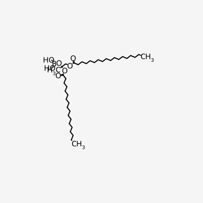 CCCCCCCCCCCCCCCCCC(=O)OCC(C)(OB(O)O)OC(=O)CCCCCCCCCCCCCCCCC